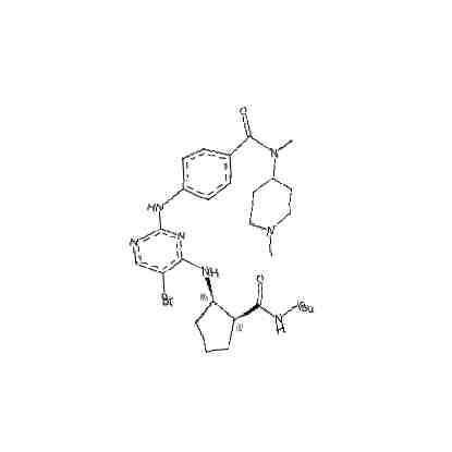 CCC(C)NC(=O)[C@H]1CCC[C@H]1Nc1nc(Nc2ccc(C(=O)N(C)C3CCN(C)CC3)cc2)ncc1Br